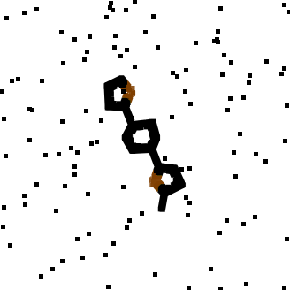 Cc1ccc(-c2ccc(-c3cccs3)cc2)s1